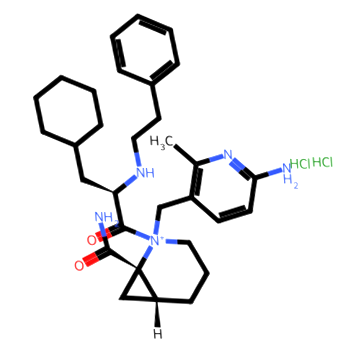 Cc1nc(N)ccc1C[N+]1(C(=O)[C@@H](CC2CCCCC2)NCCc2ccccc2)CCC[C@@H]2C[C@@]21C(N)=O.Cl.Cl